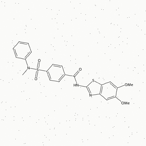 COc1cc2nc(NC(=O)c3ccc(S(=O)(=O)N(C)c4ccccc4)cc3)sc2cc1OC